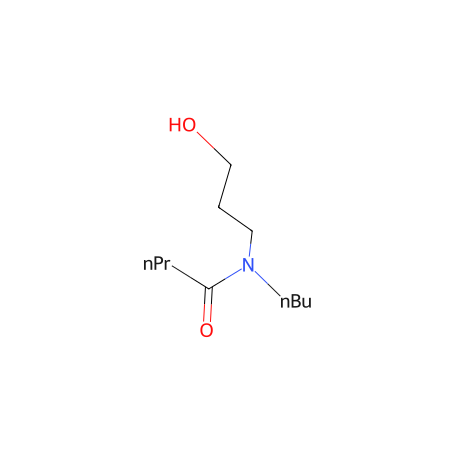 CCCCN(CCCO)C(=O)CCC